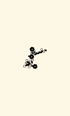 CCOC(=O)CCCCCN(c1cc(C)cc(OCCN(Cc2ccccc2)c2c(Cl)c(Cl)nc(Cl)c2Cl)c1)S(=O)(=O)c1ccccc1